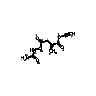 C#COC(=O)C(=C)CC(=O)ONC(N)=O